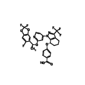 C[C@H](Oc1cc(-n2nc(C(F)(F)F)c3c2[C@@H](Oc2ccc(C(=O)O)cc2)CCC3)ccn1)c1cc2c(cc1F)OC(F)(F)O2